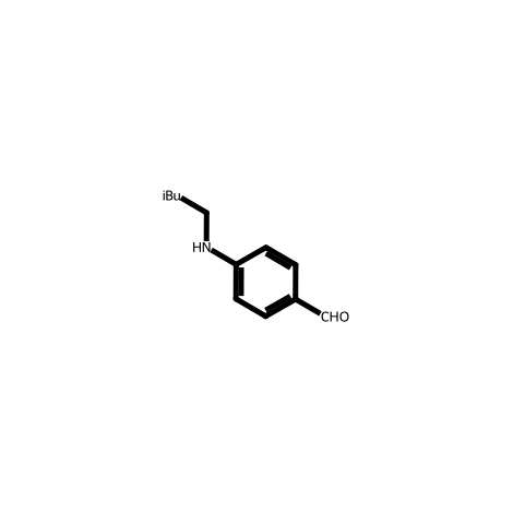 CCC(C)CNc1ccc(C=O)cc1